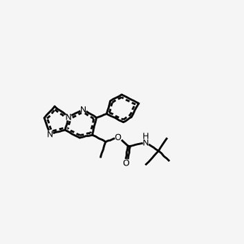 CC(OC(=O)NC(C)(C)C)c1cc2nccn2nc1-c1ccccc1